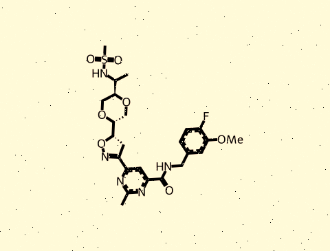 COc1cc(CNC(=O)c2cc(C3=NO[C@H]([C@H]4CO[C@H](C(C)NS(C)(=O)=O)CO4)C3)nc(C)n2)ccc1F